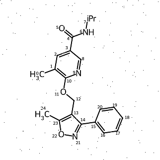 Cc1cc(C(=O)NC(C)C)cnc1OCc1c(-c2ccccc2)noc1C